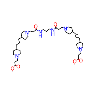 COC(=O)CCN1CCC(CCCC2CCN(CCC(=O)NCCCNC(=O)CCN3CCC(CCCC4CCN(CCC(=O)OC)CC4)CC3)CC2)CC1